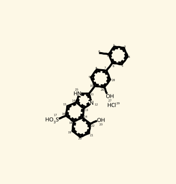 Cc1ccccc1-c1ccc(-c2nc3c(cc(S(=O)(=O)O)c4cccc(O)c43)[nH]2)c(O)c1.Cl